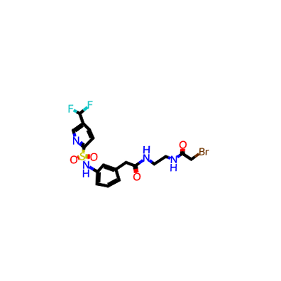 O=C(CBr)NCCNC(=O)Cc1cccc(NS(=O)(=O)c2ccc(C(F)F)cn2)c1